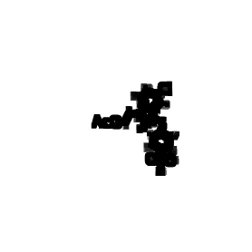 CC(=O)OCCc1c(C)c(Sc2ccc(S(C)(=O)=O)cc2)c2cc(Cl)ccn12